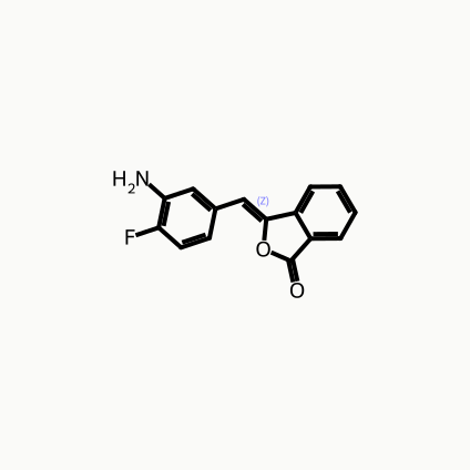 Nc1cc(/C=C2\OC(=O)c3ccccc32)ccc1F